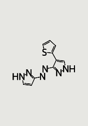 c1csc(-c2c[nH]nc2N=Nc2cc[nH]n2)c1